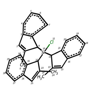 CC1=Cc2ccccc2C1[Si](Cl)(C1C(C)=Cc2ccccc21)C1C(C)=Cc2ccccc21